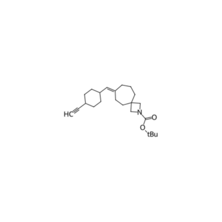 C#CC1CCC(/C=C2/CCCC3(CC2)CN(C(=O)OC(C)(C)C)C3)CC1